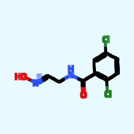 O=C(NC/C=N/O)c1cc(Cl)ccc1Cl